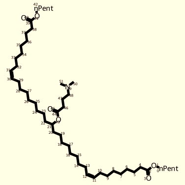 CCCCCOC(=O)CCCCCCC/C=C\CCCCCCCCC(CCCCCCCC/C=C\CCCCCCCC(=O)OCCCCC)OC(=O)CCCN(C)C